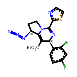 CCOC(=O)C1=C2[C@@H](N=[N+]=[N-])CCN2C(c2nccs2)=N[C@H]1c1ccc(F)cc1Br